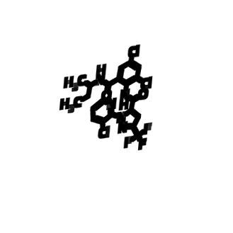 CCC(C)NC(=O)c1cc(Cl)cc(Cl)c1NC(=O)C1CC(C(F)(F)F)=NN1c1ncccc1Cl